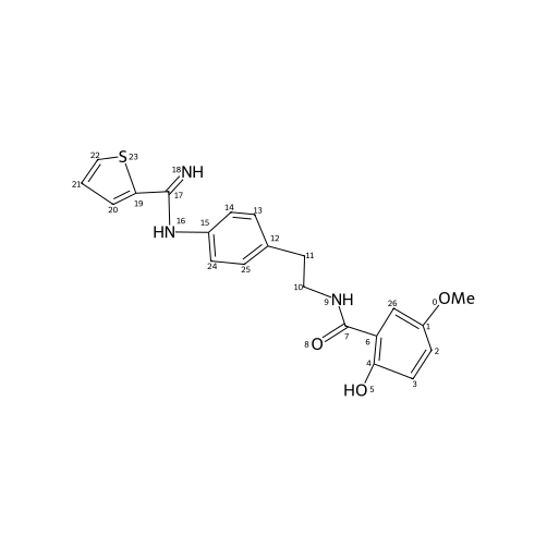 COc1ccc(O)c(C(=O)NCCc2ccc(NC(=N)c3cccs3)cc2)c1